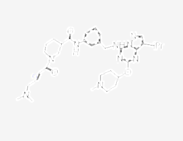 CC(C)c1cnn2c(NCc3cccc(NC(=O)C4CCCN(C(=O)/C=C/CN(C)C)C4)c3)nc(OC3CCN(C)CC3)nc12